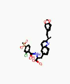 CC(Cc1ccc2c(c1)OCO2)c1ccc2cc(CC(NC(=O)c3ccc(S(C)(=O)=O)cc3Cl)C(=O)O)ccc2n1